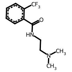 CN(C)CCNC(=O)c1ccccc1C(F)(F)F